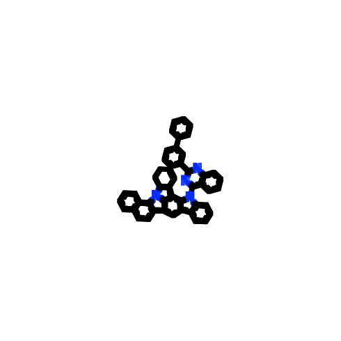 C1=Cc2c(n3c4c5ccccc5ccc4c4cc5c6ccccc6n(-c6nc(-c7cccc(-c8ccccc8)c7)nc7ccccc67)c5c2c43)CC1